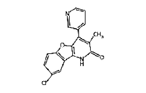 Cc1c(-c2cccnc2)c2oc3ccc(Cl)cc3c2[nH]c1=O